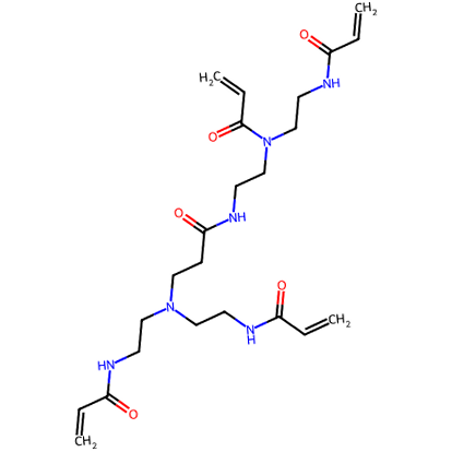 C=CC(=O)NCCN(CCNC(=O)C=C)CCC(=O)NCCN(CCNC(=O)C=C)C(=O)C=C